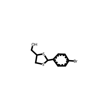 OCC1CSC(c2ccc(Br)cc2)S1